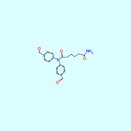 NC(=O)CCCCC(=O)N(c1ccc(C=O)cc1)c1ccc(C=O)cc1